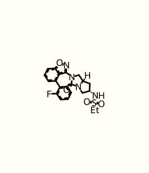 CCS(=O)(=O)N[C@H]1C[C@H]2CN(c3noc4cccc(-c5c(C)cccc5F)c34)C(=O)N2C1